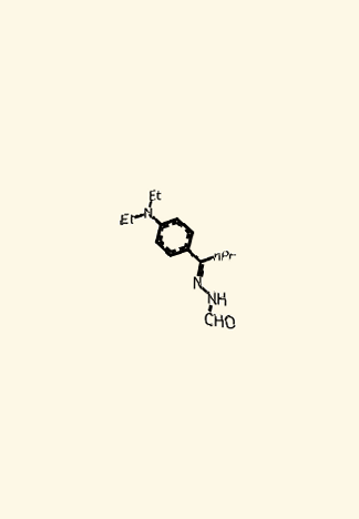 CCC/C(=N\NC=O)c1ccc(N(CC)CC)cc1